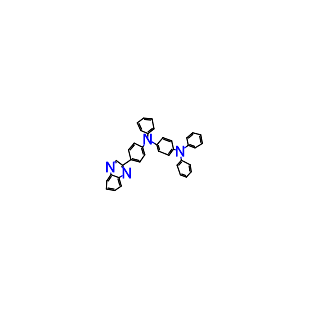 c1ccc(N(c2ccccc2)c2ccc(N(c3ccccc3)c3ccc(-c4cnc5ccccc5n4)cc3)cc2)cc1